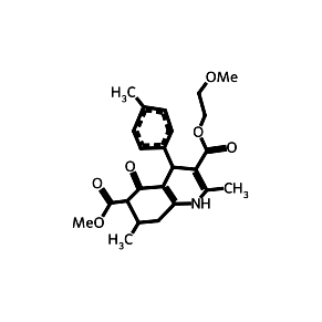 COCCOC(=O)C1=C(C)NC2=C(C(=O)C(C(=O)OC)C(C)C2)C1c1ccc(C)cc1